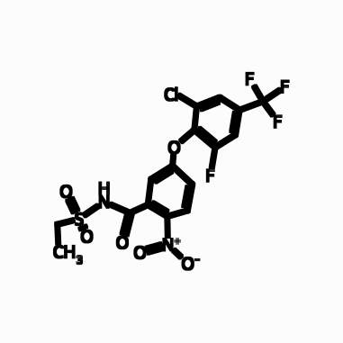 CCS(=O)(=O)NC(=O)c1cc(Oc2c(F)cc(C(F)(F)F)cc2Cl)ccc1[N+](=O)[O-]